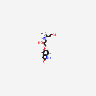 CC(CCO)NCC(O)COc1ccc2c(c1)CC(=O)N2